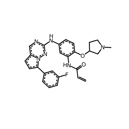 C=CC(=O)Nc1cc(Nc2ncc3ccc(-c4cccc(F)c4)n3n2)ccc1OC1CCN(C)C1